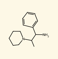 CC(C(N)c1c[c]ccc1)N1CCCCC1